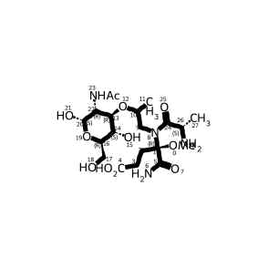 CO[C@](CCC(=O)O)(C(N)=O)N(CC(C)O[C@H]1[C@H](O)[C@@H](CO)O[C@H](O)[C@@H]1NC(C)=O)C(=O)[C@H](C)N